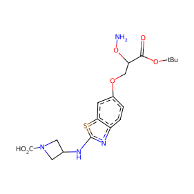 CC(C)(C)OC(=O)C(COc1ccc2nc(NC3CN(C(=O)O)C3)sc2c1)ON